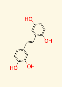 Oc1ccc(O)c(C=Cc2ccc(O)c(O)c2)c1